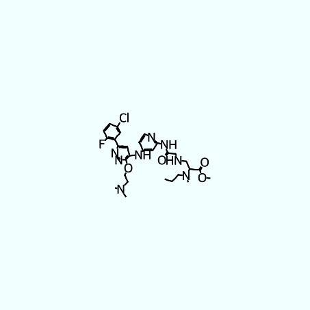 CCCN(C)C(CNCC(=O)Nc1cc(Nc2cc(-c3cc(Cl)ccc3F)nnc2OCCN(C)C)ccn1)C(=O)OC